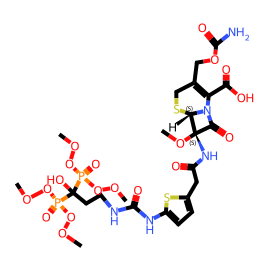 COOP(=O)(OOC)C(O)(CCNC(=O)Nc1ccc(CC(=O)N[C@]2(OC)C(=O)N3C(C(=O)O)=C(COC(N)=O)CS[C@H]32)s1)P(=O)(OOC)OOC